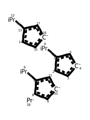 CC(C)c1cc[cH-]c1.CC(C)c1cc[cH-]c1.CC(C)c1cc[cH-]c1.[Pr]